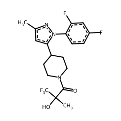 Cc1cc(C2CCN(C(=O)C(C)(O)C(F)(F)F)CC2)n(-c2ccc(F)cc2F)n1